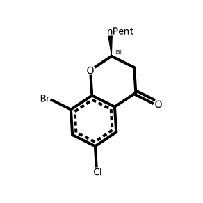 CCCCC[C@H]1CC(=O)c2cc(Cl)cc(Br)c2O1